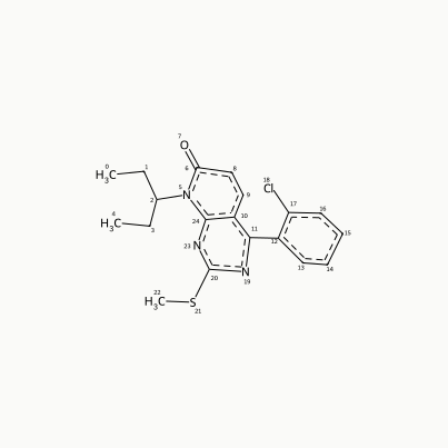 CCC(CC)n1c(=O)ccc2c(-c3ccccc3Cl)nc(SC)nc21